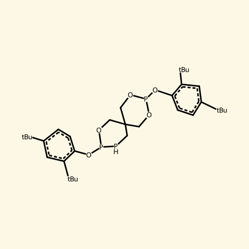 CC(C)(C)c1ccc(OP2OCC3(CO2)COP(Oc2ccc(C(C)(C)C)cc2C(C)(C)C)PC3)c(C(C)(C)C)c1